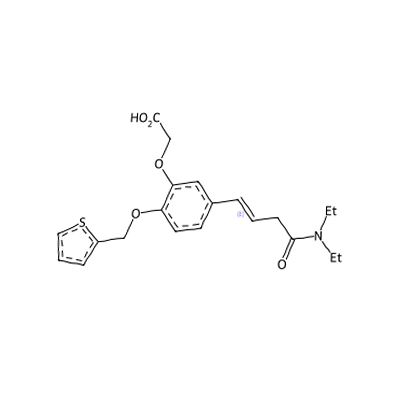 CCN(CC)C(=O)C/C=C/c1ccc(OCc2cccs2)c(OCC(=O)O)c1